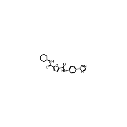 O=C(Nc1ccc(-n2cncn2)cc1)c1ccc(C(=O)NC2CCCCC2)o1